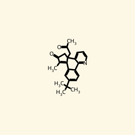 CC(=O)CC12CC(=O)C(C)=C1c1cc(C(C)(C)C)ccc1-c1ncccc12